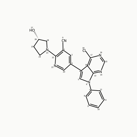 N#Cc1cc(-c2cn(-c3ccccc3)c3ncnc(Cl)c23)cnc1N1CC[C@H](O)C1